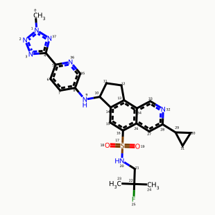 Cn1nnc(-c2ccc(NC3CCc4c3cc(S(=O)(=O)NCC(C)(C)F)c3cc(C5CC5)ncc43)cn2)n1